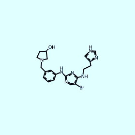 O[C@@H]1CCN(Cc2cccc(Nc3ncc(Br)c(NCCc4c[nH]cn4)n3)c2)C1